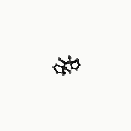 O=C([SH]1(Cl)=[SH]CCC1)[SH]1(Cl)=[SH]CCC1